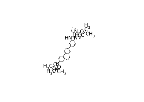 CC(C)(C)OC(=O)N1CCCC1c1nc2ccc(-c3ccc4c(c3)CCc3cc(B5OC(C)(C)C(C)(C)O5)ccc3-4)cc2[nH]1